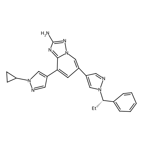 CC[C@@H](c1ccccc1)n1cc(-c2cc(-c3cnn(C4CC4)c3)c3nc(N)nn3c2)cn1